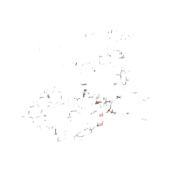 CCCCCCCCCCCCCC(=O)O.CNC(CC(C)C)C(=O)NC1C(=O)NC(CC(N)=O)C(=O)NC2C(=O)NC3C(=O)NC(C(=O)NC(C(=O)O)c4cc(O)cc(O)c4-c4cc3ccc4O)C(O)c3ccc(c(Cl)c3)Oc3cc2cc(c3OC2OC(CO)C(O)C(O)C2OC2CC(C)(N)C(O)C(C)O2)Oc2ccc(cc2Cl)C1O